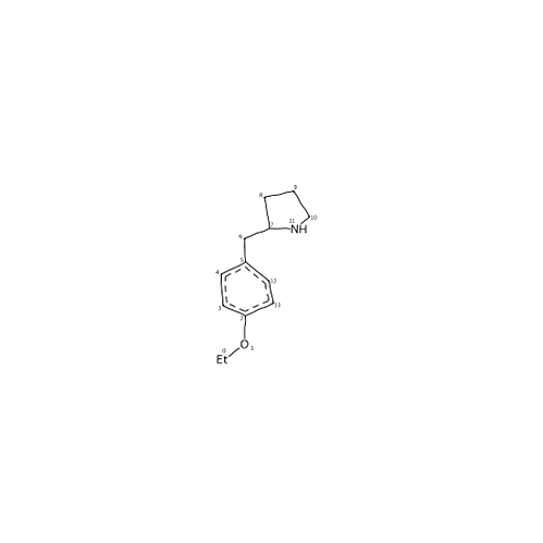 CCOc1ccc(CC2CCCN2)cc1